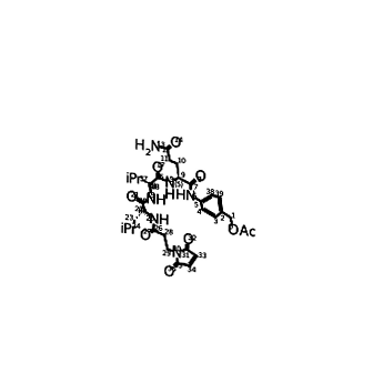 CC(=O)OCc1ccc(NC(=O)[C@H](CCC(N)=O)NC(=O)[C@@H](NC(=O)[C@@H](CC(C)C)NC(=O)CCN2C(=O)C=CC2=O)C(C)C)cc1